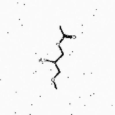 COCC(N)COC(C)=O